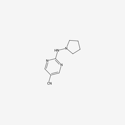 N#Cc1cnc(NN2CCCC2)nc1